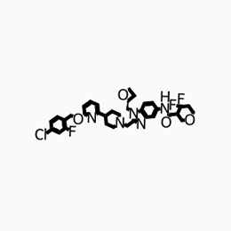 O=C(Nc1ccc2c(c1)nc(CN1CCC(c3cccc(OCc4ccc(Cl)cc4F)n3)CC1)n2C[C@@H]1CCO1)C1COCCC1(F)F